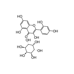 O=c1c(O)c(-c2ccc(O)cc2O)oc2cc(O)cc(O)c12.O[C@H]1[C@H](O)[C@@H](O)[C@H](O)[C@@H](O)[C@H]1O